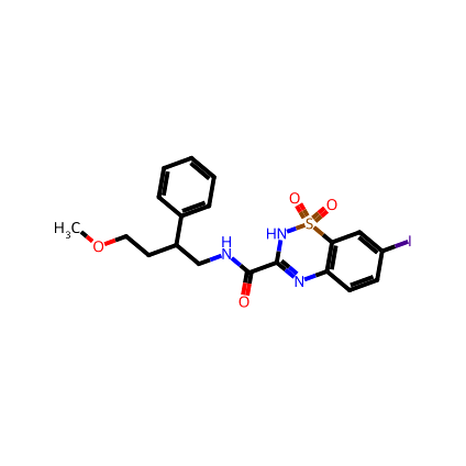 COCCC(CNC(=O)C1=Nc2ccc(I)cc2S(=O)(=O)N1)c1ccccc1